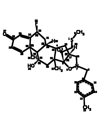 CSCC(=O)[C@@]12ON(Cc3ccc(C)cc3)C[C@@H]1CC1[C@@H]3C[C@H](F)C4=CC(=O)C=C[C@]4(C)C3[C@@H](O)CC12C